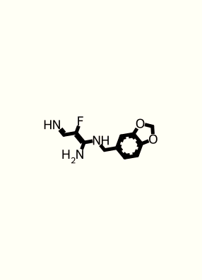 N=C/C(F)=C(\N)NCc1ccc2c(c1)OCO2